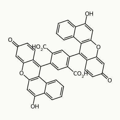 O=C(O)c1cc(-c2c3ccc(=O)cc-3oc3cc(O)c4ccccc4c23)c(C(=O)O)cc1-c1c2ccc(=O)cc-2oc2cc(O)c3ccccc3c12